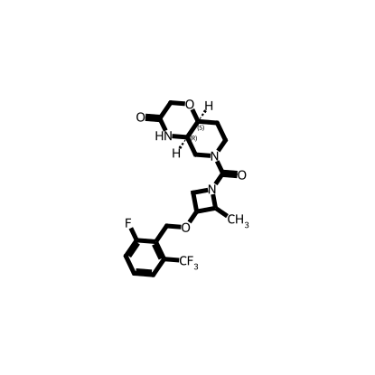 CC1C(OCc2c(F)cccc2C(F)(F)F)CN1C(=O)N1CC[C@@H]2OCC(=O)N[C@@H]2C1